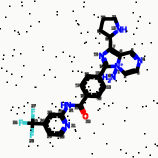 N[N+]12C=CN=CC1=C(C1CCCN1)N=C2c1ccc(C(=O)Nc2cc(C(F)(F)F)ccn2)cc1